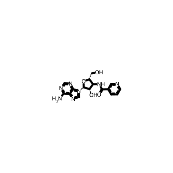 Nc1ncnc2c1ncn2[C@@H]1O[C@H](CO)C(NC(=O)c2cccnc2)[C@@H]1O